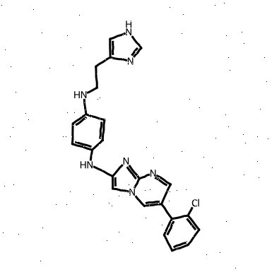 Clc1ccccc1-c1cnc2nc(Nc3ccc(NCCc4c[nH]cn4)cc3)cn2c1